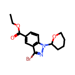 CCOC(=O)c1ccc2c(c1)c(Br)nn2C1CCCCO1